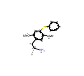 COc1cc(Sc2ccccc2)c(OC)cc1C[C@@H](C)N